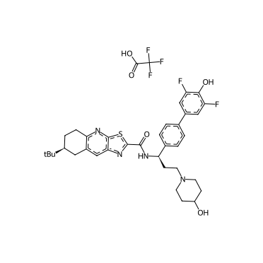 CC(C)(C)[C@H]1CCc2nc3sc(C(=O)N[C@H](CCN4CCC(O)CC4)c4ccc(-c5cc(F)c(O)c(F)c5)cc4)nc3cc2C1.O=C(O)C(F)(F)F